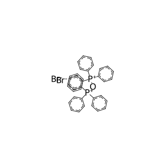 [Br-].[Br-].c1ccc([P+](O[P+](c2ccccc2)(c2ccccc2)c2ccccc2)(c2ccccc2)c2ccccc2)cc1